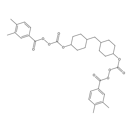 Cc1ccc(C(=O)OOC(=O)OC2CCC(CC3CCC(OC(=O)OOC(=O)c4ccc(C)c(C)c4)CC3)CC2)cc1C